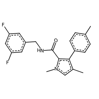 Cc1ccc(-c2c(C)cn(C)c2C(=O)NCc2cc(F)cc(F)c2)cc1